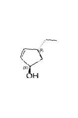 CC[C@H]1C=C[C@H](O)C1